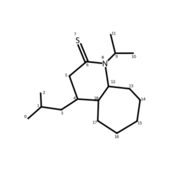 CC(C)CC1CC(=S)N(C(C)C)C2CCCCCC12